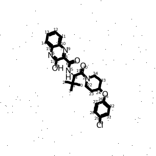 CC(C)(C)[C@H](NC(=O)c1nc2ccccc2nc1O)C(=O)N1CCC(Oc2ccc(Cl)cc2)CC1